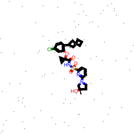 C[C@]1(O)CCN(c2cccc(S(=O)(=O)NC(=O)C3(Oc4cc(Cl)ccc4C4CC5(CCC5)C4)CC3)n2)C1